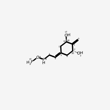 C=C1[C@H](O)CC(=CCPOP)C[C@H]1O